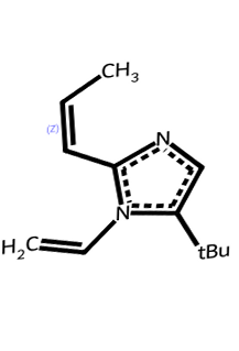 C=Cn1c(C(C)(C)C)cnc1/C=C\C